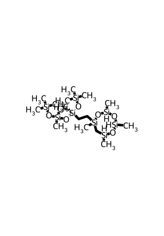 C[SiH]1C[Si](C)(CC[Si](C)(O[Si](C)(C)C)O[Si](C)(C)O[Si](C)(C)C)O[SiH](C)O[SiH](C)O1